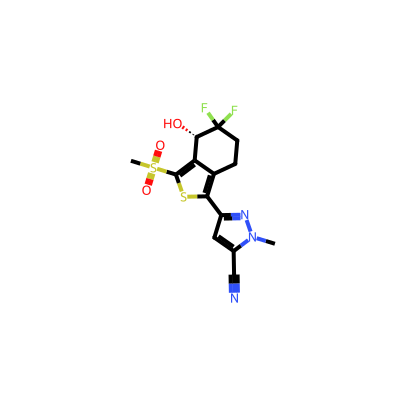 Cn1nc(-c2sc(S(C)(=O)=O)c3c2CCC(F)(F)[C@H]3O)cc1C#N